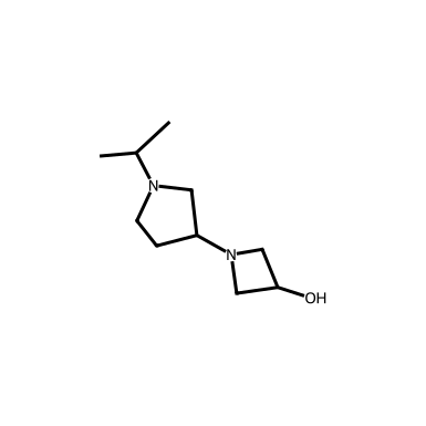 CC(C)N1CCC(N2CC(O)C2)C1